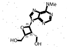 CNc1ncnc2c1ncn2[C@@H]1O[C@H](CO)[C@H]1CO